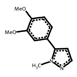 COc1ccc(-c2ccnn2C)cc1OC